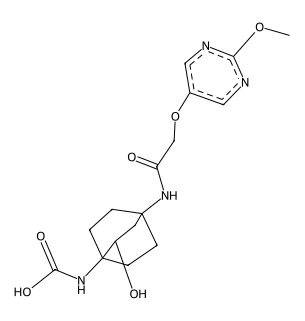 COc1ncc(OCC(=O)NC23CCC(NC(=O)O)(CC2)C(O)C3)cn1